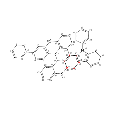 C1=CCCC(c2ccc3c(c2)SC2=C(C(C4=CC=CC5C6=C(CCC=C6)N(c6ccccc6)C45)CC=C2)C3C2c3ccccc3Sc3ccccc32)=C1